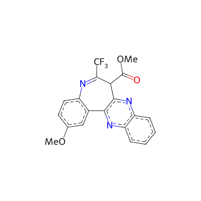 COC(=O)C1C(C(F)(F)F)=Nc2ccc(OC)cc2-c2nc3ccccc3nc21